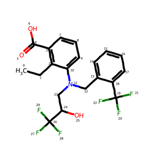 CCc1c(C(=O)O)cccc1N(Cc1ccccc1C(F)(F)F)CC(O)C(F)(F)F